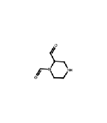 O=CC1CNCCN1C=O